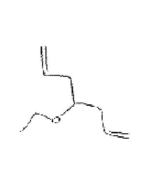 C=CC[C](CC=C)OCC